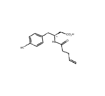 C=CCCC(=O)N[C@H](CC(=O)O)Cc1ccc(C#N)cc1